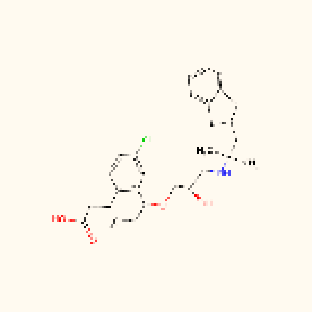 CCC(OC[C@H](O)CNC(C)(C)CC1Cc2ccccc2C1)c1cc(Cl)ccc1CCC(=O)O